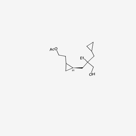 CCC(CO)(CC1CC1)C[C@H]1CC1CCOC(C)=O